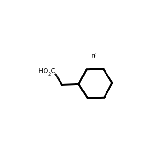 O=C(O)CC1CCCCC1.[In]